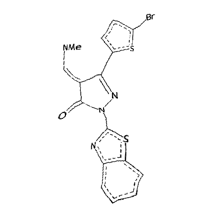 CN/C=C1/C(=O)N(c2nc3ccccc3s2)N=C1c1ccc(Br)s1